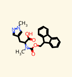 CN(C(=O)OCC1c2ccccc2-c2ccccc21)C(Cc1cnn(C)c1)C(=O)O